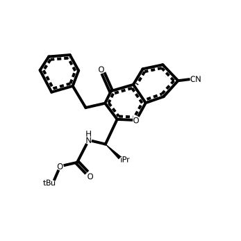 CC(C)[C@@H](NC(=O)OC(C)(C)C)c1oc2cc(C#N)ccc2c(=O)c1Cc1ccccc1